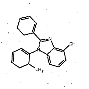 Cc1cccc2c1nc(C1=CC=CCC1)n2C1=CC=CCC1C